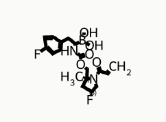 C=CC(=O)N1C[C@@H](F)C[C@]1(C)COC(=O)NC(Cc1ccc(F)cc1)B(O)O